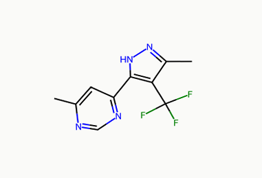 Cc1cc(-c2[nH]nc(C)c2C(F)(F)F)ncn1